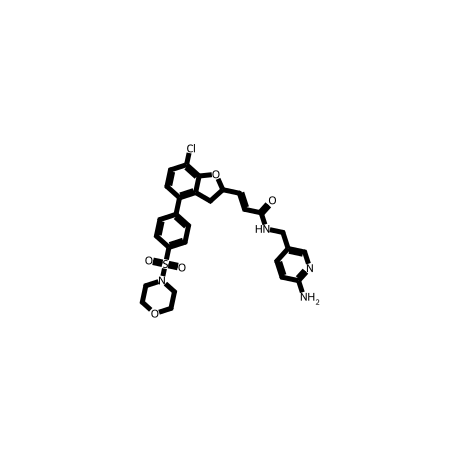 Nc1ccc(CNC(=O)C=CC2Cc3c(-c4ccc(S(=O)(=O)N5CCOCC5)cc4)ccc(Cl)c3O2)cn1